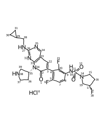 Cl.O=c1c(-c2c(F)ccc(NS(=O)(=O)N3CC[C@@H](F)C3)c2F)cc2cnc(NCC3CC3)nc2n1[C@@H]1CCNC1